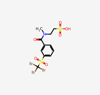 CN(CCS(=O)(=O)O)C(=O)c1cccc(S(=O)(=O)C(Br)(Br)Br)c1